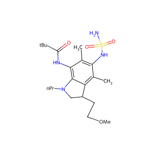 CCCN1CC(CCOC)c2c(C)c(NS(N)(=O)=O)c(C)c(NC(=O)C(C)(C)C)c21